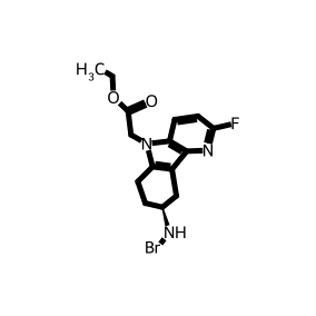 CCOC(=O)Cn1c2c(c3nc(F)ccc31)C[C@@H](NBr)CC2